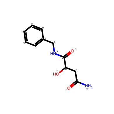 NC(=O)CC(O)C(=O)NCc1ccccc1